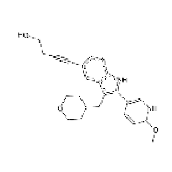 COC1C=CC(c2[nH]c3ncc(C#CCCO)cc3c2CC2CCOCC2)=CN1